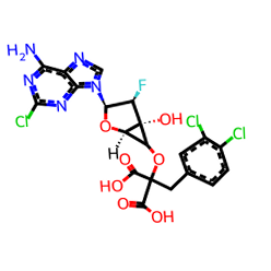 Nc1nc(Cl)nc2c1ncn2[C@@H]1O[C@@H]2C(OC(Cc3ccc(Cl)c(Cl)c3)(C(=O)O)C(=O)O)[C@]2(O)[C@@H]1F